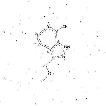 COCc1n[nH]c2c(Cl)nccc12